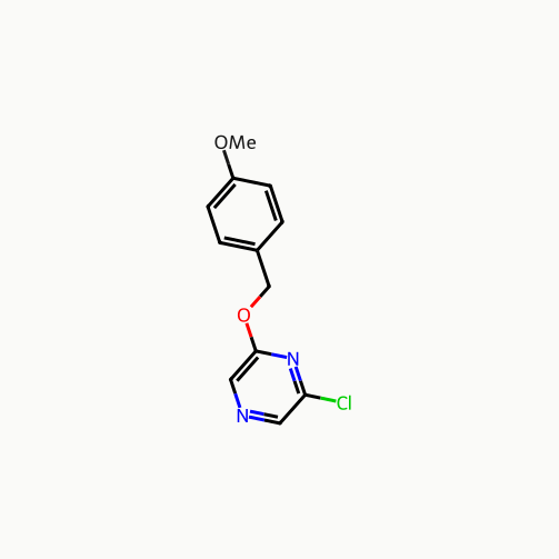 COc1ccc(COc2cncc(Cl)n2)cc1